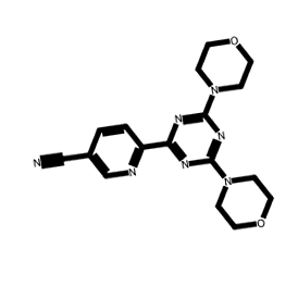 N#Cc1ccc(-c2nc(N3CCOCC3)nc(N3CCOCC3)n2)nc1